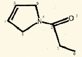 CCC(=O)N1C[C]=CC1